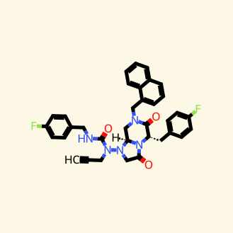 C#CCN(C(=O)NCc1ccc(F)cc1)N1CC(=O)N2[C@@H](Cc3ccc(F)cc3)C(=O)N(Cc3cccc4ccccc34)C[C@@H]21